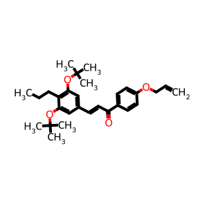 C=CCOc1ccc(C(=O)C=Cc2cc(OC(C)(C)C)c(CCC)c(OC(C)(C)C)c2)cc1